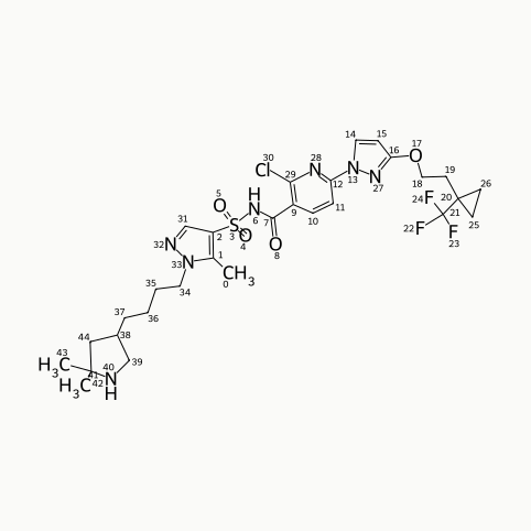 Cc1c(S(=O)(=O)NC(=O)c2ccc(-n3ccc(OCCC4(C(F)(F)F)CC4)n3)nc2Cl)cnn1CCCCC1CNC(C)(C)C1